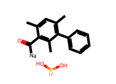 Cc1cc(C)c(-c2ccccc2)c(C)c1[C](=O)[Na].OPO